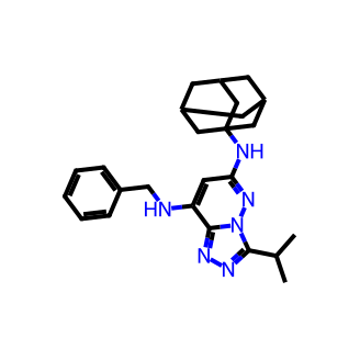 CC(C)c1nnc2c(NCc3ccccc3)cc(NC34CC5CC(CC(C5)C3)C4)nn12